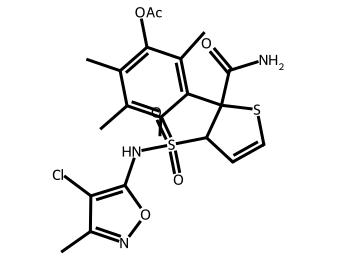 CC(=O)Oc1c(C)c(C)c(C)c(C2(C(N)=O)SC=CC2S(=O)(=O)Nc2onc(C)c2Cl)c1C